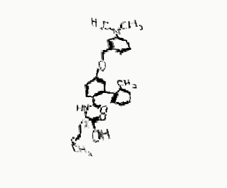 CSCC[C@H](NC(=O)c1ccc(COCc2cccc(N(C)C)c2)cc1-c1ccccc1C)C(=O)O